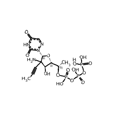 CC#CC1(N)C(O)[C@@H]([C@H](C)OP(=O)(O)OP(=O)(O)OP(=O)(O)O)O[C@H]1n1ncc(=O)[nH]c1=O